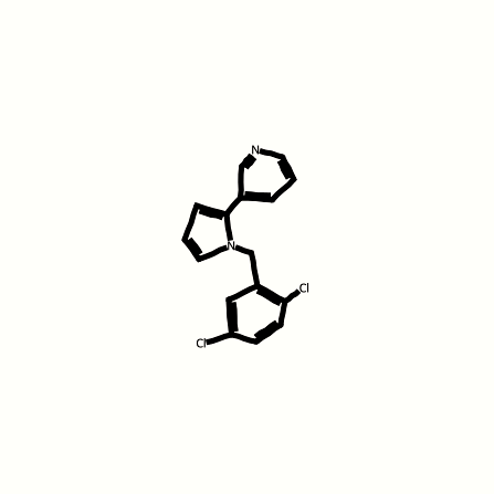 Clc1ccc(Cl)c(Cn2cccc2-c2cccnc2)c1